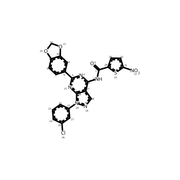 O=C(Nc1nc(-c2ccc3c(c2)OCO3)nc2c1cnn2-c1cccc(Cl)c1)c1ccc([N+](=O)[O-])s1